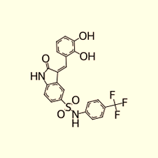 O=C1Nc2ccc(S(=O)(=O)Nc3ccc(C(F)(F)F)cc3)cc2C1=Cc1cccc(O)c1O